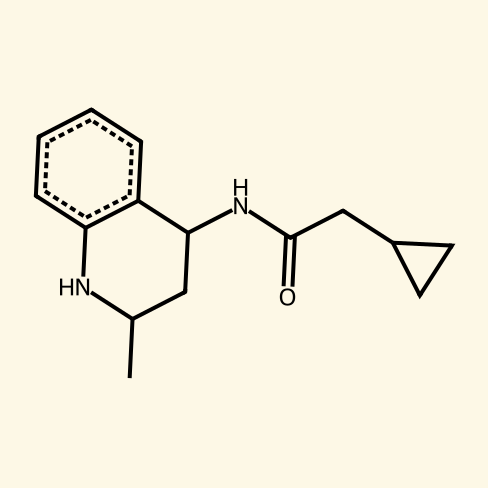 CC1CC(NC(=O)CC2CC2)c2ccccc2N1